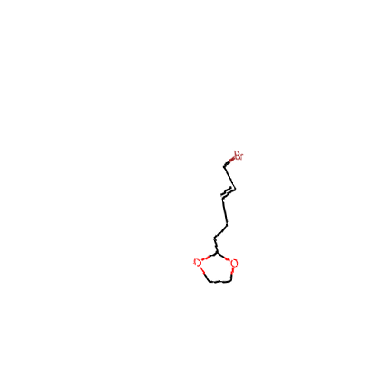 BrCC=CCCC1OCCO1